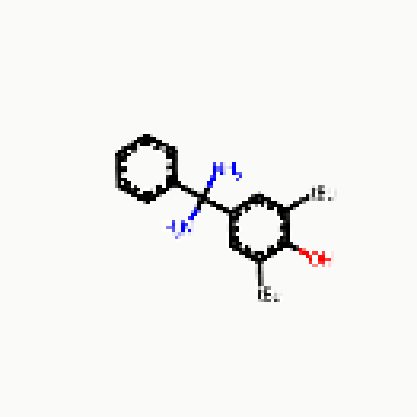 CC(C)(C)c1cc(C(N)(N)c2ccccc2)cc(C(C)(C)C)c1O